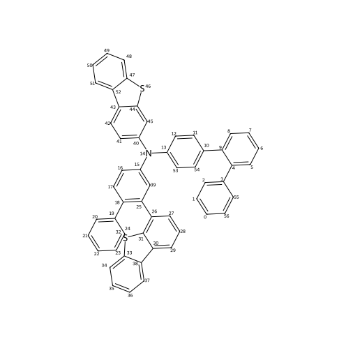 c1ccc(-c2ccccc2-c2ccc(N(c3ccc(-c4ccccc4)c(-c4cccc5c4sc4ccccc45)c3)c3ccc4c(c3)sc3ccccc34)cc2)cc1